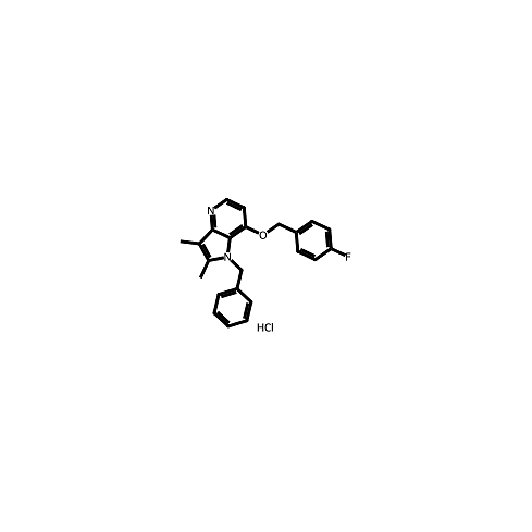 Cc1c(C)n(Cc2ccccc2)c2c(OCc3ccc(F)cc3)ccnc12.Cl